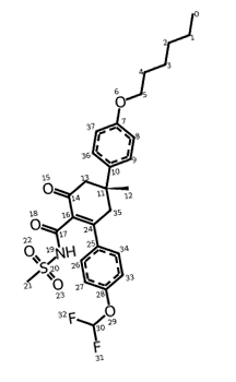 CCCCCCOc1ccc([C@@]2(C)CC(=O)C(C(=O)NS(C)(=O)=O)=C(c3ccc(OC(F)F)cc3)C2)cc1